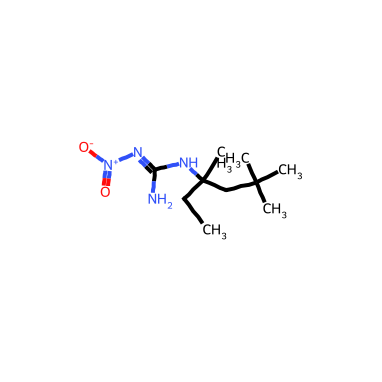 CCC(C)(CC(C)(C)C)N/C(N)=N/[N+](=O)[O-]